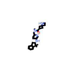 CN(Cc1ccc(NC2Cc3ccccc3C2(C)C)cn1)C(=O)C1CC2(CCN2)C1